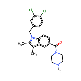 CCN1CCN(C(=O)c2ccc3c(c2)c(C)c(C)n3Cc2ccc(Cl)c(Cl)c2)CC1